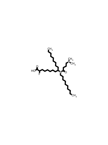 CCCCCCCCCCN(C(=O)CCCN(C)C)C(CCCCCCCCC)CCCCCCC(F)C(=O)O